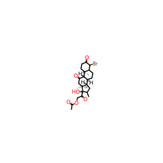 CC(=O)OCC(=O)[C@@]1(O)C(C)C[C@H]2[C@@H]3CCC4C(Br)C(=O)CC[C@]4(C)[C@H]3C(=O)C[C@@]21C